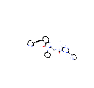 C[C@@H](NC(=O)c1nc(C2=CCC=N2)cnc1N)c1nc2cccc(C#Cc3cccnc3)c2c(=O)n1-c1ccccc1